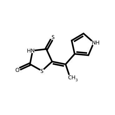 CC(=C1SC(=O)NC1=S)c1cc[nH]c1